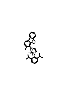 Cc1ccc2c(oc3ccccc32)c1N1C=CN(c2c(C(C)C)cccc2C(C)C)[C@@H]1C